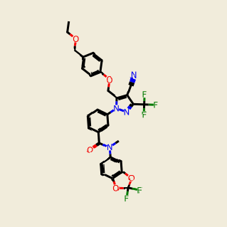 CCOCc1ccc(OCc2c(C#N)c(C(F)(F)F)nn2-c2cccc(C(=O)N(C)c3ccc4c(c3)OC(F)(F)O4)c2)cc1